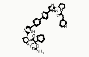 C[C@](OC(N)=O)(C(=O)N1CCC[C@H]1c1ncc(-c2ccc(-c3ccc(-c4cnc([C@@H]5CCCN5C(=O)Cc5cccnc5)[nH]4)cn3)cc2)[nH]1)c1ccccc1